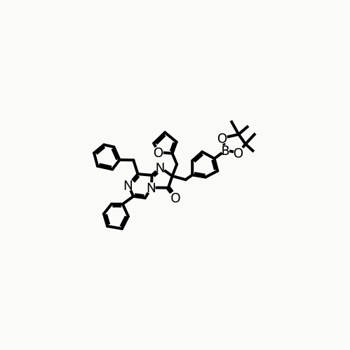 CC1(C)OB(c2ccc(CC3(Cc4ccco4)N=C4C(Cc5ccccc5)=NC(c5ccccc5)=CN4C3=O)cc2)OC1(C)C